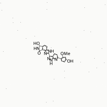 COc1cc(O)ccc1-c1ccc2c(-c3nc4c5c(ccc4[nH]3)C(O)NC5=O)n[nH]c2n1